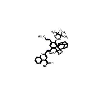 COC1(c2cc(B3OC(C)(C)C(C)(C)O3)c(/C=C/C(=O)O)cc2/C=C/C2=CC(=C(C#N)C#N)c3ccccc3O2)OOC12C1CC3CC(C1)CC2C3